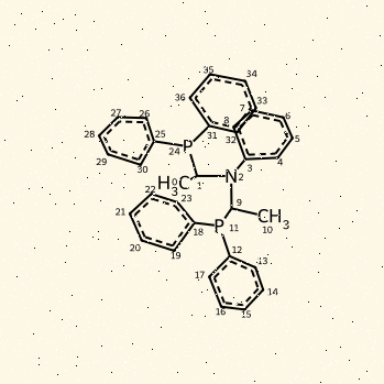 CC(N(c1ccccc1)C(C)P(c1ccccc1)c1ccccc1)P(c1ccccc1)c1ccccc1